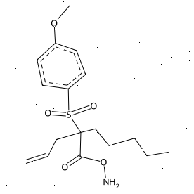 C=CCC(CCCCC)(C(=O)ON)S(=O)(=O)c1ccc(OC)cc1